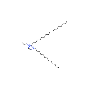 CCCCCCCCCCCCCCCCCc1n(CCC)cc[n+]1CCCCCCCCCCCCC